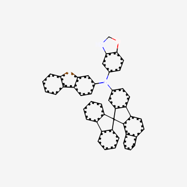 c1ccc2c(c1)-c1ccccc1C21c2cc(N(c3ccc4c(c3)NCO4)c3ccc4c(c3)sc3ccccc34)ccc2-c2ccc3ccccc3c21